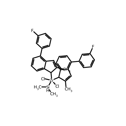 CC1=Cc2c(-c3cccc(F)c3)cccc2[CH]1[Zr]([Cl])([Cl])([CH]1C(C)=Cc2c(-c3cccc(F)c3)cccc21)[SiH](C)C